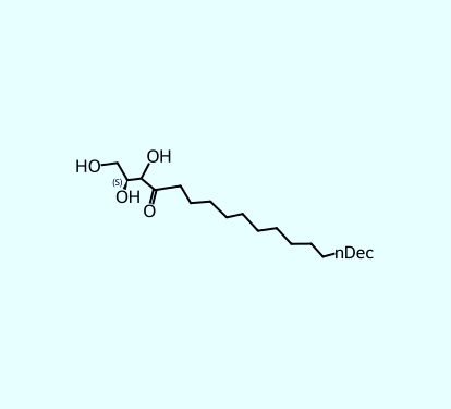 CCCCCCCCCCCCCCCCCCCCC(=O)C(O)[C@@H](O)CO